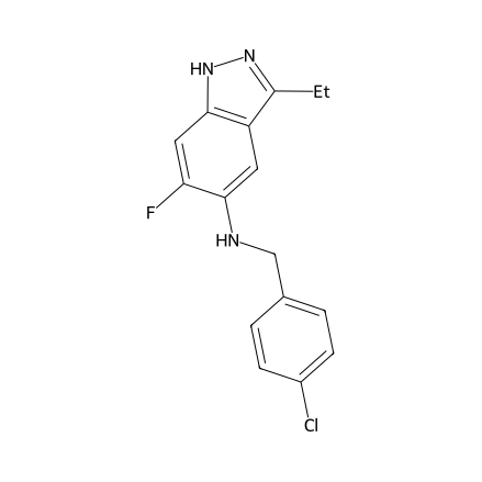 CCc1n[nH]c2cc(F)c(NCc3ccc(Cl)cc3)cc12